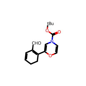 CC(C)(C)OC(=O)N1C=COC(C2=C(C=O)C=CCC2)=C1